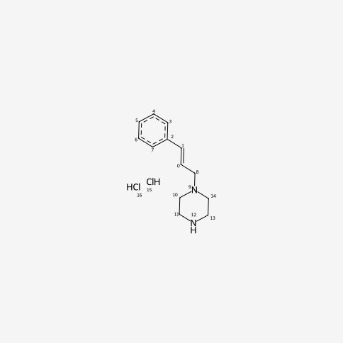 C(=Cc1ccccc1)CN1CCNCC1.Cl.Cl